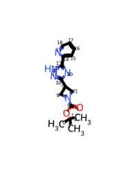 CC(C)(C)OC(=O)N1CC(c2n[nH]c(-c3ccccn3)n2)C1